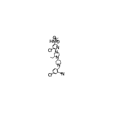 CCC1CN(c2ncc(NS(C)(=O)=O)cc2Cl)CCN1C1CCN(Cc2ccc(Cl)cc2C#N)CC1